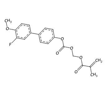 C=C(C)C(=O)OCOC(=O)Oc1ccc(-c2ccc(OC)c(F)c2)cc1